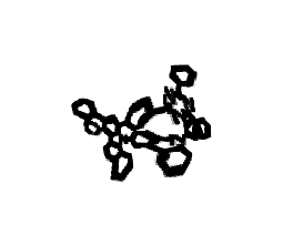 c1ccc(-c2nc(-c3ccccc3)nc(-c3ccc(-c4cc5c6ccccc6oc5c5c6ccc7ccccc7c6n(-c6ccc7c(c6)c6ccccc6n7-c6ccccc6)c45)cc3)n2)cc1